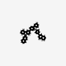 c1ccc2cc(-c3ccc(-n4c5ccccc5c5ccc(-c6ccc7c(c6)c6ccccc6n7-c6ccc7ccccc7c6)cc54)cc3)ccc2c1